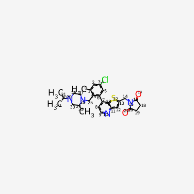 Cc1cc(Cl)cc(-c2ccnc3cc(CN4C(=O)CCC4=O)sc23)c1CN1CCN(C(C)C)C[C@@H]1C